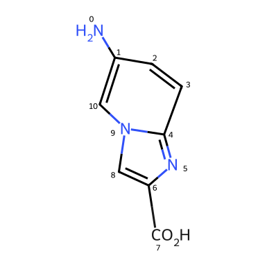 Nc1ccc2nc(C(=O)O)cn2c1